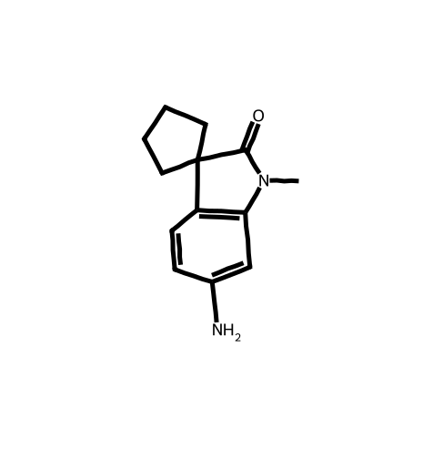 CN1C(=O)C2(CCCC2)c2ccc(N)cc21